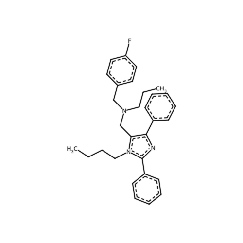 CCCCn1c(-c2ccccc2)nc(-c2ccccc2)c1CN(CCC)Cc1ccc(F)cc1